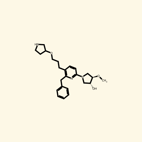 CO[C@@H]1CN(c2ccc(CCCOC3CCNC3)c(Cc3ccccc3)n2)C[C@H]1O